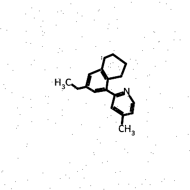 CCc1cc2c(c(-c3cc(C)ccn3)c1)CCC[C]2